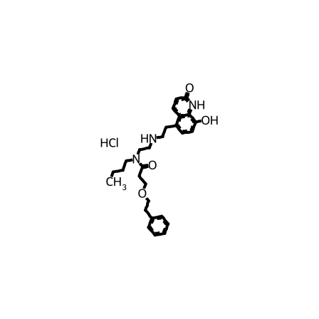 CCCCN(CCNCCc1ccc(O)c2[nH]c(=O)ccc12)C(=O)CCOCCc1ccccc1.Cl